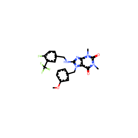 COc1cccc(Cn2c(NCc3ccc(F)c(C(F)(F)F)c3)nc3c2c(=O)n(C)c(=O)n3C)c1